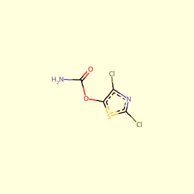 NC(=O)Oc1sc(Cl)nc1Cl